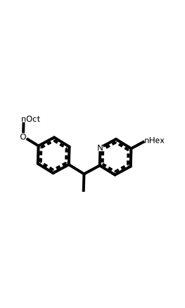 CCCCCCCCOc1ccc(C(C)c2ccc(CCCCCC)cn2)cc1